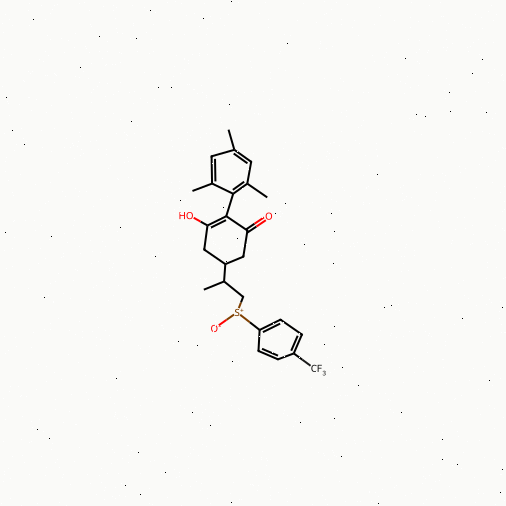 Cc1cc(C)c(C2=C(O)CC(C(C)C[S+]([O-])c3ccc(C(F)(F)F)cc3)CC2=O)c(C)c1